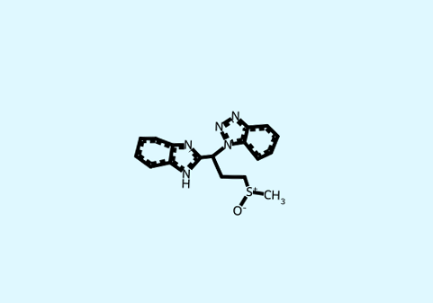 C[S+]([O-])CCC(c1nc2ccccc2[nH]1)n1nnc2ccccc21